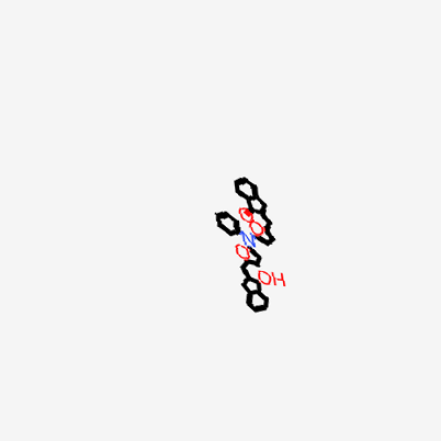 O=C1/C(=C\c2ccc(N(c3ccccc3)c3ccc(/C=C4/Cc5ccccc5C4O)o3)o2)Cc2ccccc21